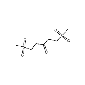 CS(=O)(=O)CCC(=O)CCS(C)(=O)=O